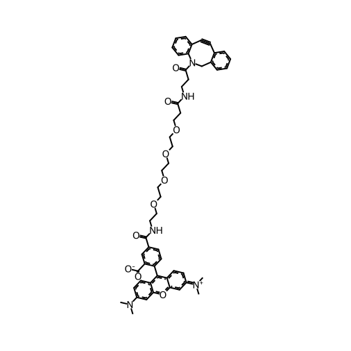 CN(C)c1ccc2c(-c3ccc(C(=O)NCCOCCOCCOCCOCCC(=O)NCCC(=O)N4Cc5ccccc5C#Cc5ccccc54)cc3C(=O)[O-])c3ccc(=[N+](C)C)cc-3oc2c1